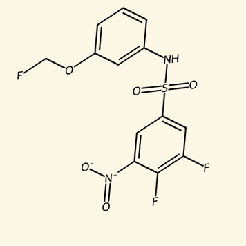 O=[N+]([O-])c1cc(S(=O)(=O)Nc2cccc(OCF)c2)cc(F)c1F